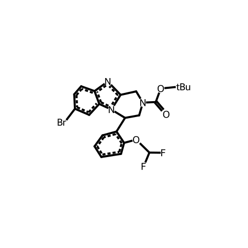 CC(C)(C)OC(=O)N1Cc2nc3ccc(Br)cc3n2C(c2ccccc2OC(F)F)C1